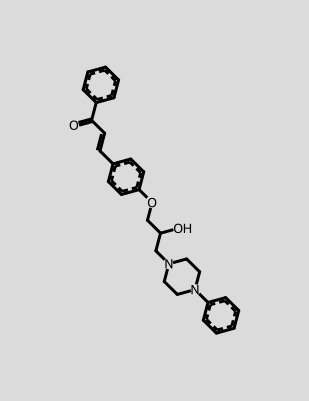 O=C(/C=C/c1ccc(OCC(O)CN2CCN(c3ccccc3)CC2)cc1)c1ccccc1